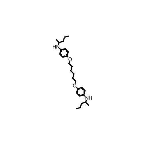 CCCC(C)Nc1ccc(OCCCCCCOc2ccc(NC(C)CCC)cc2)cc1